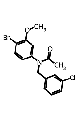 COc1cc(N(Cc2cccc(Cl)c2)C(C)=O)ccc1Br